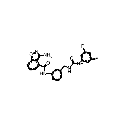 Nc1noc2cccc(C(=O)Nc3cccc(CNC(=O)Nc4cc(F)cc(F)c4)c3)c12